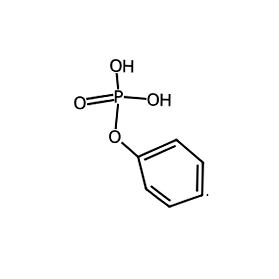 O=P(O)(O)Oc1cc[c]cc1